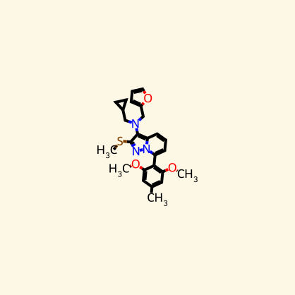 COc1cc(C)cc(OC)c1-c1cccc2c(N(Cc3ccco3)CC3CC3)c(SC)nn12